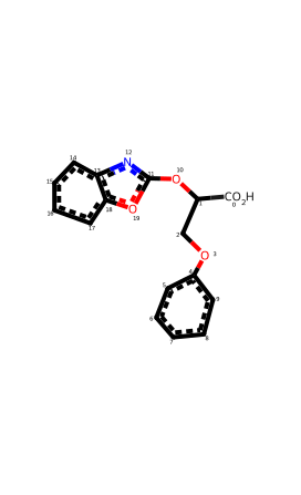 O=C(O)C(COc1ccccc1)Oc1nc2ccccc2o1